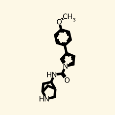 COc1ccc(-c2ccn(C(=O)NC3CC4CC3CN4)c2)cc1